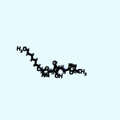 CCCCCCCC/[O+]=C1N=N/C(=C2/C(=O)C(/C=C/c3nnc(C)o3)=C2O)O/1